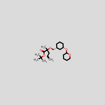 C=CCC(C)(OC[C@@H]1CCC[C@H](OC2CCCCO2)C1)C(=O)OC(C)(C)C